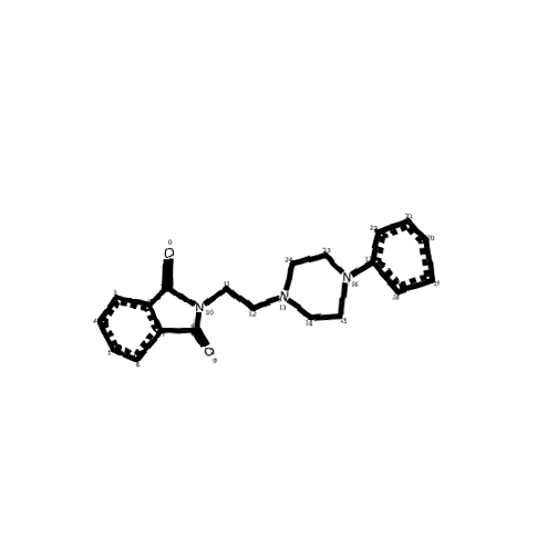 O=C1c2ccccc2C(=O)N1CCN1CCN(c2ccccc2)CC1